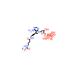 Nc1ncnc2c1c(C#CCNC(=O)CCCNC(=O)C(F)(F)F)cn2[C@H]1CC(O)[C@@H](COP(=O)(O)OP(=O)(O)OP(=O)(O)O)O1